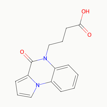 O=C(O)CCCn1c(=O)c2cccn2c2ccccc21